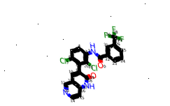 O=C(Nc1ccc(Cl)c(-c2cc3cnccc3[nH]c2=O)c1Cl)c1cccc(C(F)(F)F)c1